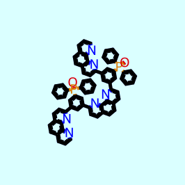 O=P(c1ccccc1)(c1ccccc1)c1cc(-c2ccc3ccc4cccnc4c3n2)cc(-c2ccc3ccc4ccc(-c5cc(-c6ccc7ccc8cccnc8c7n6)cc(P(=O)(c6ccccc6)c6ccccc6)c5)nc4c3n2)c1